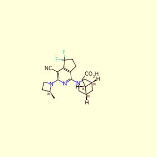 C[C@H]1CCN1c1nc(N2C[C@H]3C[C@@H](C2)[C@H]3CC(=O)O)c2c(c1C#N)C(F)(F)CC2